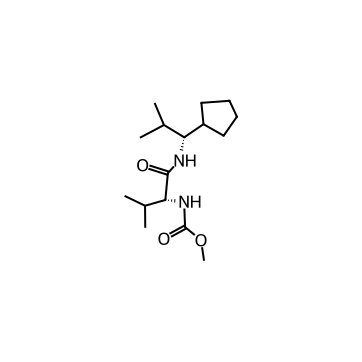 COC(=O)N[C@@H](C(=O)N[C@H](C(C)C)C1CCCC1)C(C)C